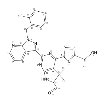 CC(O)c1ccn(-c2nc(-c3nn(Cc4ccccc4F)c4ncccc34)nc3c2C(C)(C)C(C=O)N3)n1